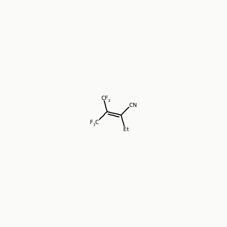 CCC(C#N)=C(C(F)(F)F)C(F)(F)F